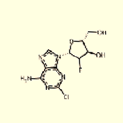 Nc1nc(Cl)nc2c1ncn2[C@@H]1O[C@H](CO)C(O)C1F